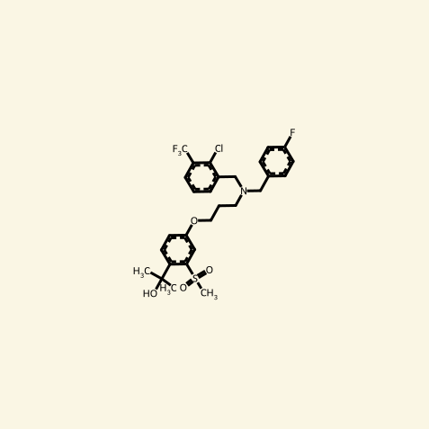 CC(C)(O)c1ccc(OCCCN(Cc2ccc(F)cc2)Cc2cccc(C(F)(F)F)c2Cl)cc1S(C)(=O)=O